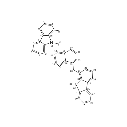 Cc1cccc2c3ccccc3n(Cc3cccc4c(Cc5cccc6c7ccccc7n(C)c56)cccc34)c12